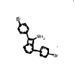 NC1=C(c2ccc(Br)cc2)c2cccc(-c3ccc(Br)cc3)c21